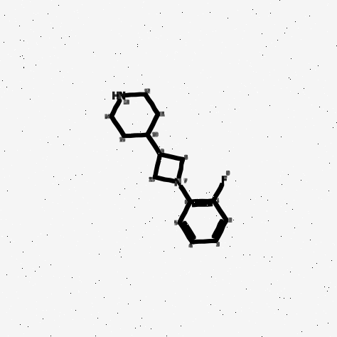 Fc1[c]cccc1N1CC(C2CCNCC2)C1